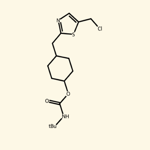 CC(C)(C)NC(=O)OC1CCC(Cc2ncc(CCl)s2)CC1